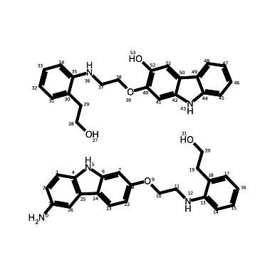 Nc1ccc2[nH]c3cc(OCCNc4ccccc4CCO)ccc3c2c1.OCCc1ccccc1NCCOc1cc2[nH]c3ccccc3c2cc1O